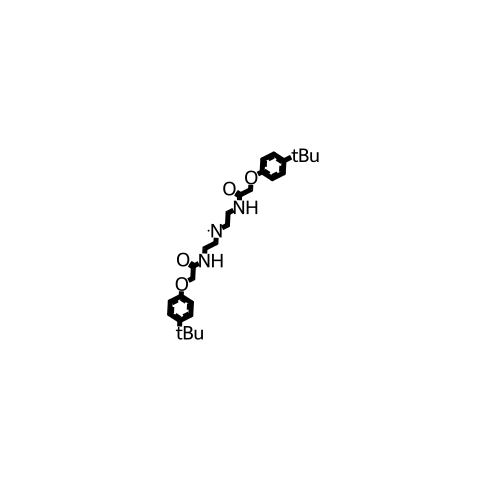 CC(C)(C)c1ccc(OCC(=O)NCC[N]CCNC(=O)COc2ccc(C(C)(C)C)cc2)cc1